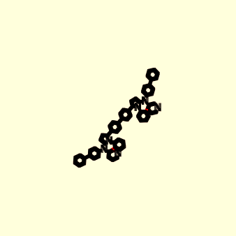 c1ccc(-c2ccc(N(c3cccnc3)c3ccc(-c4ccc(-c5ccc(-c6ccc(N(c7ccc(-c8ccccc8)cc7)c7cccnc7)n6-c6ccccc6)cc5)cc4)n3-c3ccccc3)cc2)cc1